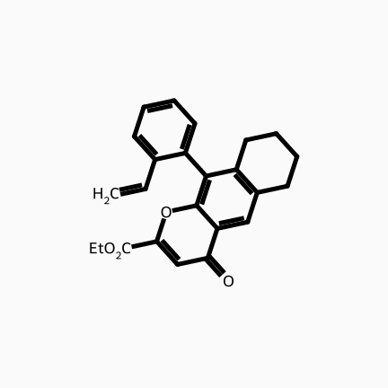 C=Cc1ccccc1-c1c2c(cc3c(=O)cc(C(=O)OCC)oc13)CCCC2